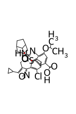 CC(C)Oc1cc(C(=O)O)cc2sc(NC3C4CCC3CC(OCc3c(-c5c(Cl)cccc5Cl)noc3C3CC3)C4)nc12